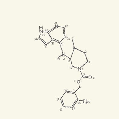 CC1CCN(C(=O)OCc2ccccc2Cl)CC1N(C)c1ncnc2[nH]ccc12